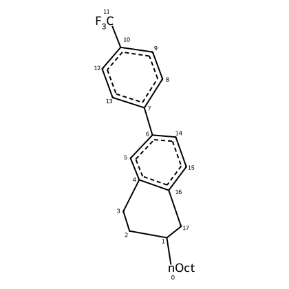 CCCCCCCCC1CCc2cc(-c3ccc(C(F)(F)F)cc3)ccc2C1